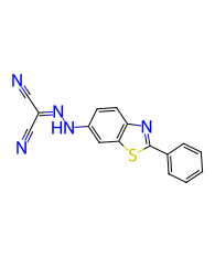 N#CC(C#N)=NNc1ccc2nc(-c3ccccc3)sc2c1